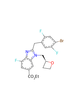 CCOC(=O)c1cc(F)c2nc(Cc3cc(F)c(Br)cc3F)n(C[C@@H]3CCO3)c2c1